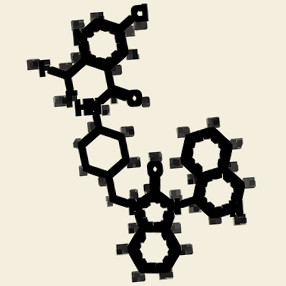 O=C(NC1CCC(Cn2c(=O)n(-c3cncc4ccccc34)c3ccccc32)CC1)c1cc(Cl)cnc1C(F)F